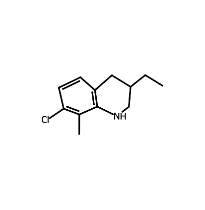 CCC1CNc2c(ccc(Cl)c2C)C1